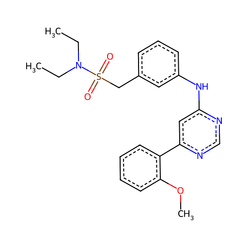 CCN(CC)S(=O)(=O)Cc1cccc(Nc2cc(-c3ccccc3OC)ncn2)c1